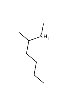 CCCCC(C)[SiH2]C